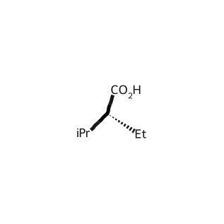 CC[C@@H](C(=O)O)C(C)C